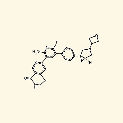 Nc1nc(F)c(-c2ccc([C@@]34C[C@@H]3CN(C3COC3)C4)cc2)cc1-c1ccc2c(c1)CCNC2=O